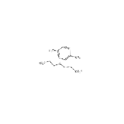 Cc1ccc(C)cc1.O=C(O)CCSCCC(=O)O